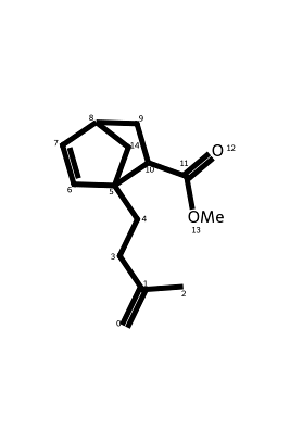 C=C(C)CCC12C=CC(CC1C(=O)OC)C2